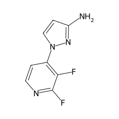 Nc1ccn(-c2ccnc(F)c2F)n1